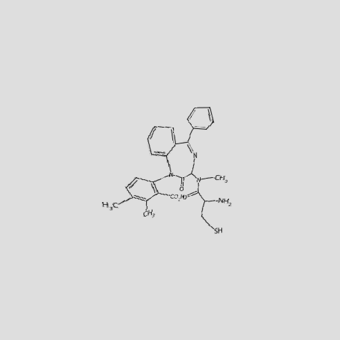 Cc1ccc(N2C(=O)C(N(C)C(=O)C(N)CS)N=C(c3ccccc3)c3ccccc32)c(C(=O)O)c1C